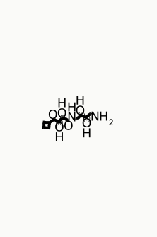 NC[C@H](O)[C@@H](O)CNC(=O)[C@H](O)[C@@H](O)C(=O)C1CCC1